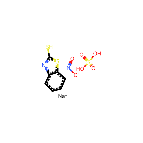 O=N[O-].O=S(=O)(O)O.Sc1nc2ccccc2s1.[Na+]